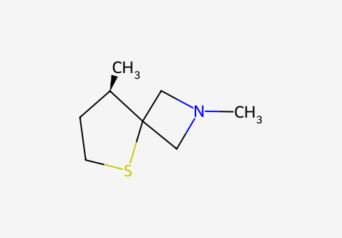 C[C@@H]1CCSC12CN(C)C2